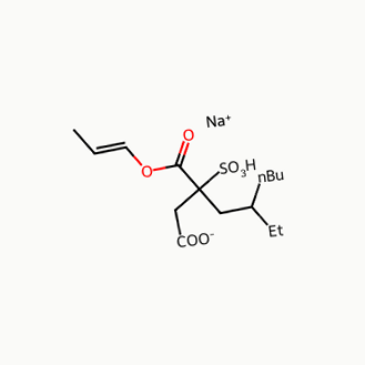 CC=COC(=O)C(CC(=O)[O-])(CC(CC)CCCC)S(=O)(=O)O.[Na+]